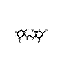 Fc1cc(F)c(/N=C/Nc2c(F)cccc2F)c(F)c1